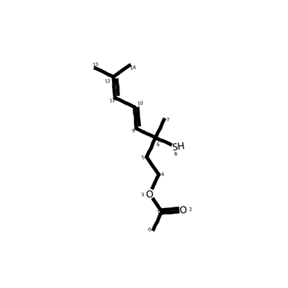 CC(=O)OCCC(C)(S)/C=C/C=C(C)C